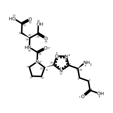 N[C@@H](CCC(=O)O)c1noc([C@@H]2CCCN2C(=O)N[C@@H](CC(=O)O)C(=O)O)n1